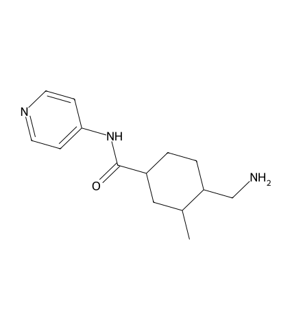 CC1CC(C(=O)Nc2ccncc2)CCC1CN